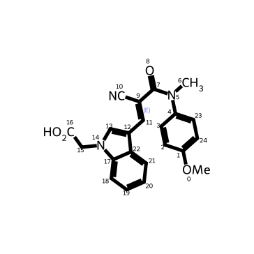 COc1ccc(N(C)C(=O)/C(C#N)=C/c2cn(CC(=O)O)c3ccccc23)cc1